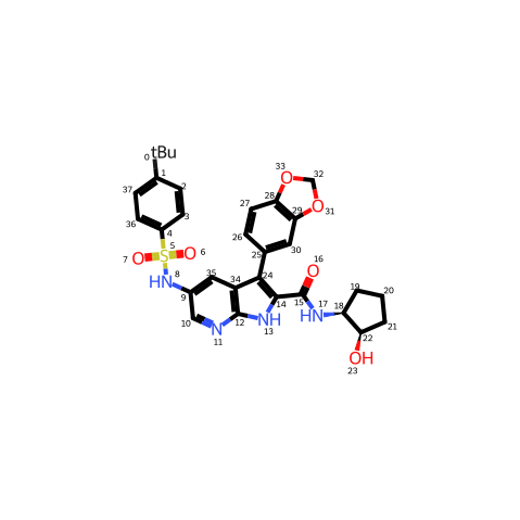 CC(C)(C)c1ccc(S(=O)(=O)Nc2cnc3[nH]c(C(=O)N[C@H]4CCC[C@H]4O)c(-c4ccc5c(c4)OCO5)c3c2)cc1